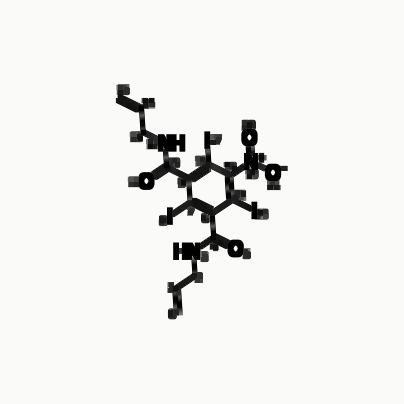 C=CCNC(=O)c1c(I)c(C(=O)NCC=C)c(I)c([N+](=O)[O-])c1I